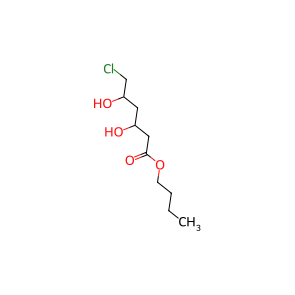 CCCCOC(=O)CC(O)CC(O)CCl